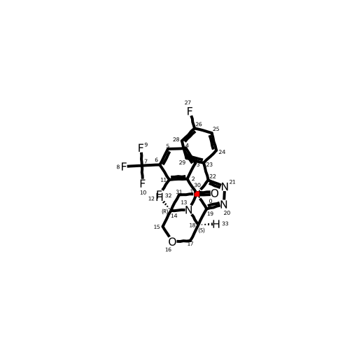 O=C(c1cccc(C(F)(F)F)c1F)N1[C@H]2COC[C@@H]1c1nnc(-c3ccc(F)cc3)n1C2